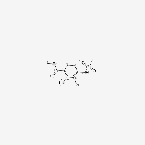 COC(=O)c1ccc(NS(C)(=O)=O)c(C)c1N